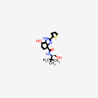 CC(C)(C)[C@@H](CO)NC(=O)c1ccc(O)c2[nH]c(-c3cccs3)nc12